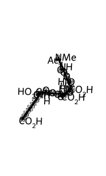 CN[C@H](CCCCNC(=O)COCCOCCNC(=O)CC[C@H](NC(=O)CC[C@@H](NC(=O)COCCOCCNC(=O)CC[C@@H](NC(=O)CCCCCCCCCCCCCCCCC(=O)O)C(=O)O)C(=O)O)C(=O)O)C(C)=O